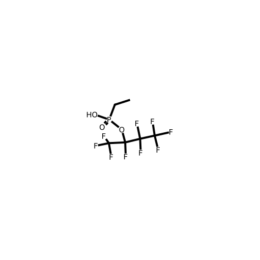 CCP(=O)(O)OC(F)(C(F)(F)F)C(F)(F)C(F)(F)F